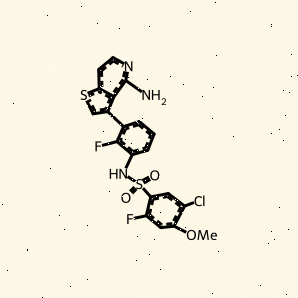 COc1cc(F)c(S(=O)(=O)Nc2cccc(-c3csc4ccnc(N)c34)c2F)cc1Cl